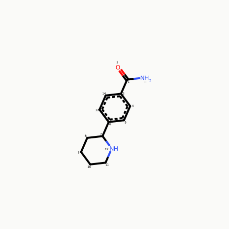 NC(=O)c1ccc(C2CCCCN2)cc1